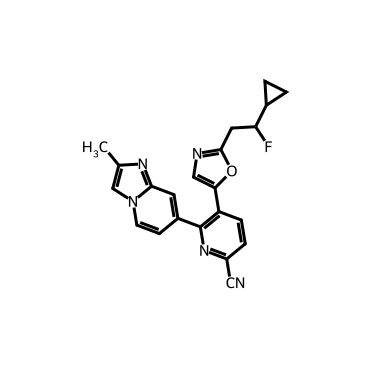 Cc1cn2ccc(-c3nc(C#N)ccc3-c3cnc(CC(F)C4CC4)o3)cc2n1